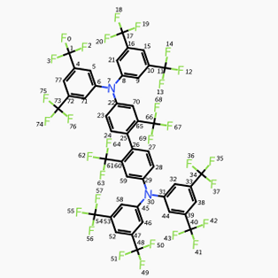 FC(F)(F)c1cc(N(c2cc(C(F)(F)F)cc(C(F)(F)F)c2)c2ccc(-c3ccc(N(c4cc(C(F)(F)F)cc(C(F)(F)F)c4)c4cc(C(F)(F)F)cc(C(F)(F)F)c4)cc3C(F)(F)F)c(C(F)(F)F)c2)cc(C(F)(F)F)c1